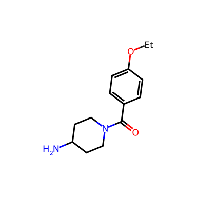 CCOc1ccc(C(=O)N2CCC(N)CC2)cc1